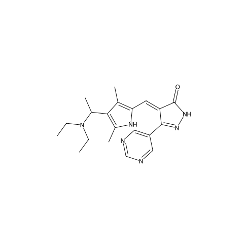 CCN(CC)C(C)c1c(C)[nH]c(/C=C2/C(=O)NN=C2c2cncnc2)c1C